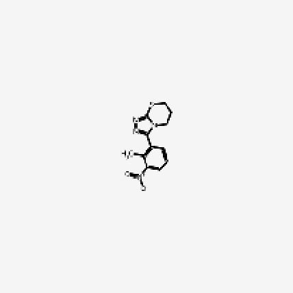 Cc1c(-c2nnc3n2CCCS3)cccc1[N+](=O)[O-]